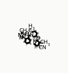 Cc1nnn(-c2ccccc2C(=O)N2C[C@H](Oc3nccc(C#N)c3C)CC[C@H]2C)n1